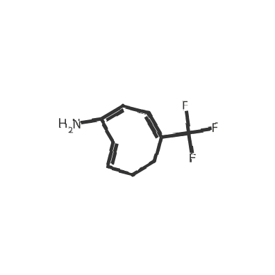 NC1=C/C=C(/C(F)(F)F)CC\C=C\1